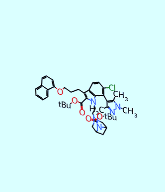 Cc1nn(C)c(C)c1-c1c(Cl)ccc2c(CCCOc3cccc4ccccc34)c(C(=O)OC(C)(C)C)n(CCN3CC4CC(C3)N4C(=O)OC(C)(C)C)c12